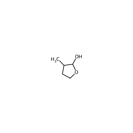 CC1CCOC1O